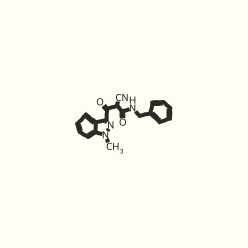 Cn1nc(C(=O)C(C#N)C(=O)NCc2ccccc2)c2ccccc21